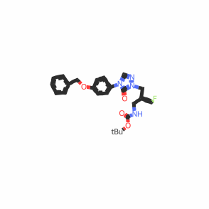 CC(C)(C)OC(=O)NC/C(=C/F)Cn1ncn(-c2ccc(OCc3ccccc3)cc2)c1=O